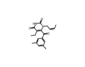 C/C=C\Cn1c(C(=O)c2cc(C)cc(C)c2)c(CC)c(=O)[nH]c1=O